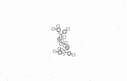 O=C(Oc1nccn1C(Cl)C(Sc1ccc(Cl)c(Cl)c1)c1ccc(Cl)cc1)C(=O)Oc1nccn1C(Cl)C(Sc1ccc(Cl)c(Cl)c1)c1ccc(Cl)cc1